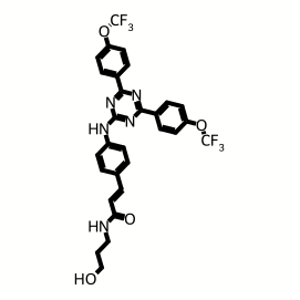 O=C(/C=C/c1ccc(Nc2nc(-c3ccc(OC(F)(F)F)cc3)nc(-c3ccc(OC(F)(F)F)cc3)n2)cc1)NCCCO